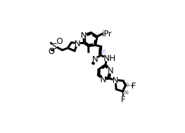 C=N/C(=C\c1c(C(C)C)cnc(N2CC(CS(C)(=O)=O)C2)c1C)Nc1ccnc(N2C[C@H](F)[C@@H](F)C2)n1